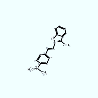 Cc1c2ccccc2[te][n+]1C=Cc1ccc(N(C)C)cc1